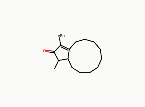 CCCCC1=C2CCCCCCCCCC2C(C)C1=O